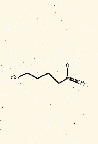 C=[N+]([O-])CCCCCCCC